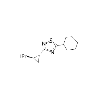 CC(C)[C@@H]1C[C@H]1c1nsc(C2CCCCC2)n1